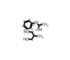 CC(CO)CO.CC(O)Oc1ccccc1